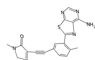 Cc1ccc(C#CC2=CCN(C)C2=O)cc1-c1nc2c(N)ncnc2s1